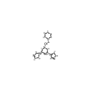 c1ccc(COc2cc(-n3ccnc3)nc(-n3ccnc3)c2)cc1